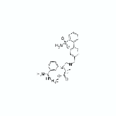 COC(=O)[C@@H]1CN(Cc2ccc(-c3ccccc3S(N)(=O)=O)cc2)C[C@H]1c1cccc(C(=N)N)c1